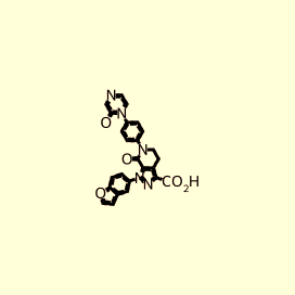 O=C(O)c1nn(-c2ccc3occc3c2)c2c1CCN(c1ccc(-n3ccncc3=O)cc1)C2=O